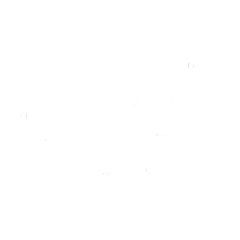 O=C(Oc1cccc(Br)c1)c1cc2cc(CCl)ccc2oc1=O